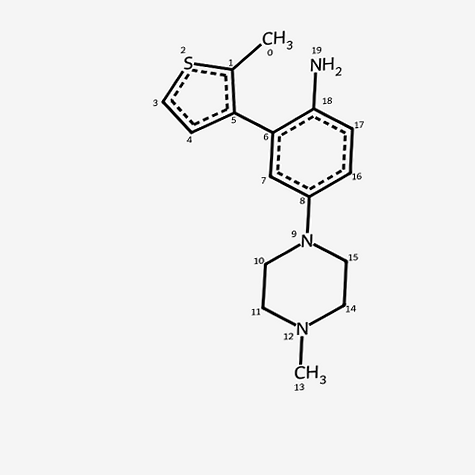 Cc1sccc1-c1cc(N2CCN(C)CC2)ccc1N